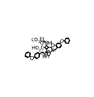 CCCN(Cc1ccc(Oc2ccccc2)cc1)C(=O)C1C(NC(=O)C(=O)OCC)C(C(=O)O)C1C(=O)N(CCC)Cc1ccc(Oc2ccccc2)cc1